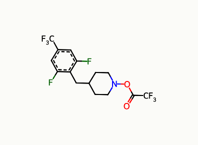 O=C(ON1CCC(Cc2c(F)cc(C(F)(F)F)cc2F)CC1)C(F)(F)F